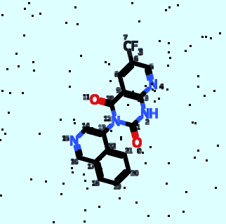 O=c1[nH]c2ncc(C(F)(F)F)cc2c(=O)n1-c1cncc2ccccc12